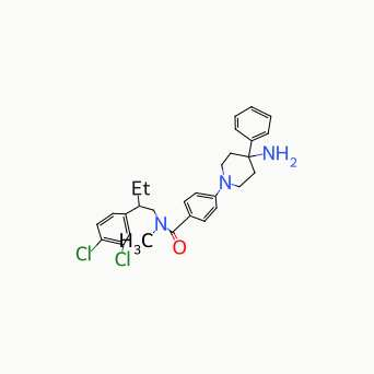 CCC(CN(C)C(=O)c1ccc(N2CCC(N)(c3ccccc3)CC2)cc1)c1ccc(Cl)c(Cl)c1